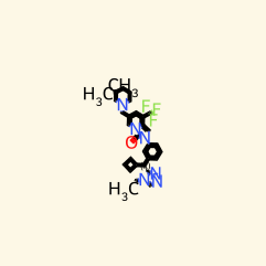 CCn1cnnc1[C@@H](c1cccc(-n2cc3c(C(F)(F)F)cc(CN4CCCC(C)(C)C4)cn3c2=O)c1)C1CCC1